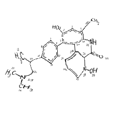 Cc1cc(O)c(-c2ccc(C(C)CN(C)C)cc2)c2c1NC(=O)C1C2=CC=CN1O